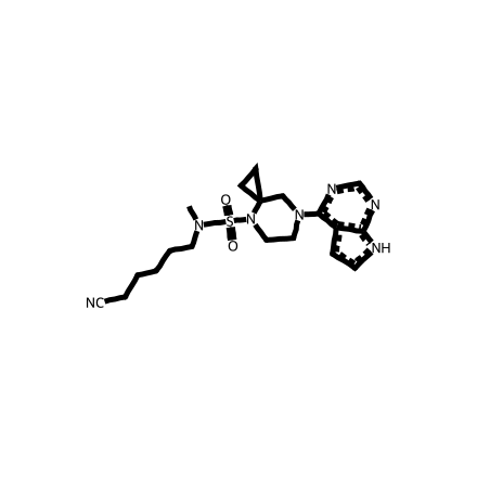 CN(CCCCCC#N)S(=O)(=O)N1CCN(c2ncnc3[nH]ccc23)CC12CC2